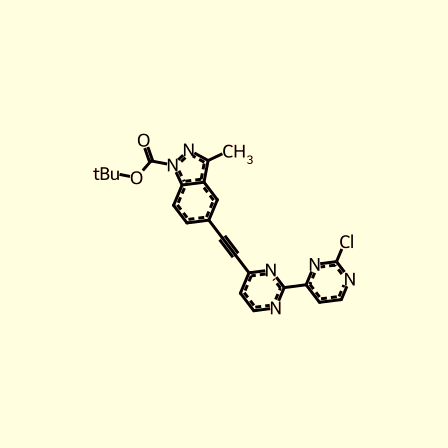 Cc1nn(C(=O)OC(C)(C)C)c2ccc(C#Cc3ccnc(-c4ccnc(Cl)n4)n3)cc12